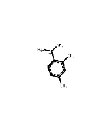 Cc1ccc([C@@H](C)N)c(C)c1